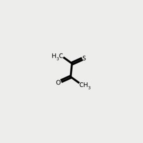 CC(=O)C(C)=S